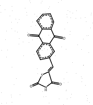 O=C1NC(=O)/C(=C/c2ccc3c(c2)C(=O)c2ccccc2C3=O)S1